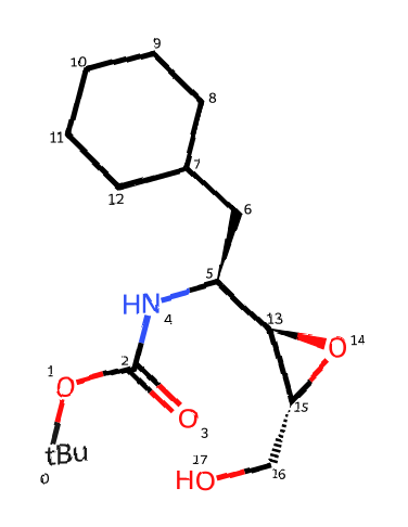 CC(C)(C)OC(=O)N[C@@H](CC1CCCCC1)[C@H]1O[C@@H]1CO